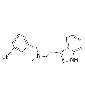 CCc1cccc(CN(C)CCc2c[nH]c3ccccc23)c1